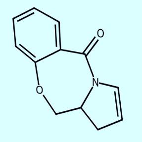 O=C1c2ccccc2OCC2CC=CN12